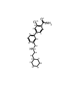 NC(=O)c1ccc(-c2cccc(CNCCC3CCCCC3)c2)cc1Cl